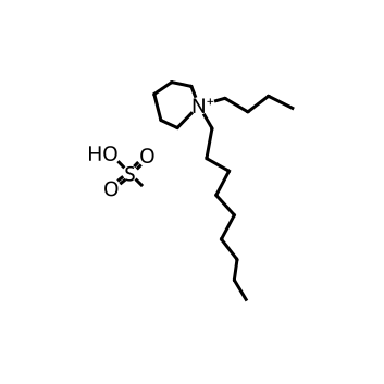 CCCCCCCCC[N+]1(CCCC)CCCCC1.CS(=O)(=O)O